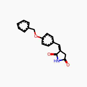 O=C1CC(=Cc2ccc(OCc3ccccc3)cc2)C(=O)N1